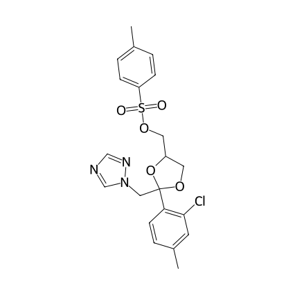 Cc1ccc(S(=O)(=O)OCC2COC(Cn3cncn3)(c3ccc(C)cc3Cl)O2)cc1